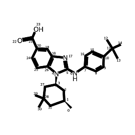 C[C@@H]1C[C@H](n2c(Nc3ccc(C(C)(C)C)cc3)nc3cc(C(=O)O)ccc32)CC(C)(C)C1